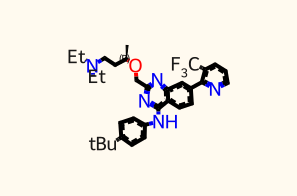 CCN(CC)CC[C@@H](C)OCc1nc(Nc2ccc(C(C)(C)C)cc2)c2ccc(-c3ncccc3C(F)(F)F)cc2n1